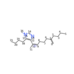 C=C(CCCC)CCC/C=C(/C)c1ncn(C)c1CCCC